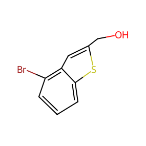 OCc1cc2c(Br)cccc2s1